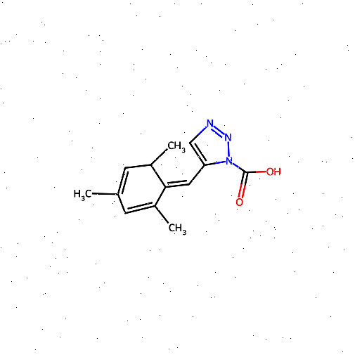 CC1=CC(C)C(=Cc2cnnn2C(=O)O)C(C)=C1